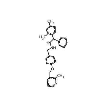 Cc1ccc(C(NNCc2ccc(OCc3cccnc3C)cc2)c2ccccc2)c(C)c1